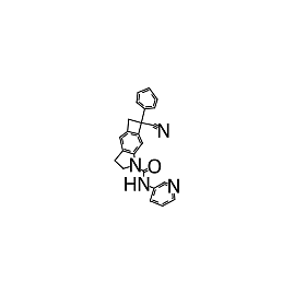 N#CC1(c2ccccc2)Cc2cc3c(cc21)N(C(=O)Nc1cccnc1)CC3